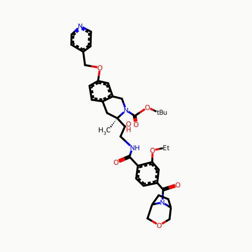 CCOc1cc(C(=O)N2C3CCC2COC3)ccc1C(=O)NC[C@@H](O)[C@@]1(C)Cc2ccc(OCc3ccncc3)cc2CN1C(=O)OC(C)(C)C